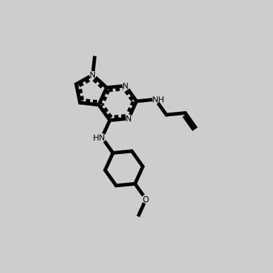 C=CCNc1nc(NC2CCC(OC)CC2)c2ccn(C)c2n1